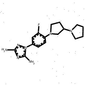 Nc1nc(N)n(-c2ccc(N3CCC(N4CCCC4)C3)c(F)c2)n1